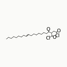 CCCCCCCCC=CCCCCCCCC(=O)C(CC(=O)Cl)C(=O)Cl